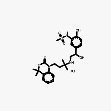 CC(C)(CCN1C(=O)OC(C)(C)c2ccccc21)NCC(O)c1ccc(O)c(NS(C)(=O)=O)c1.Cl